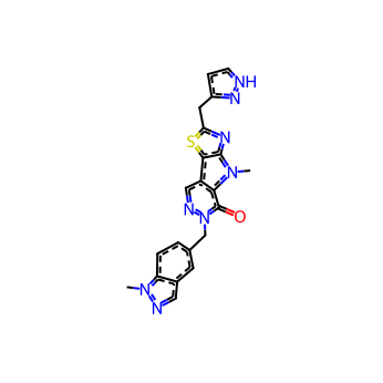 Cn1ncc2cc(Cn3ncc4c5sc(Cc6cc[nH]n6)nc5n(C)c4c3=O)ccc21